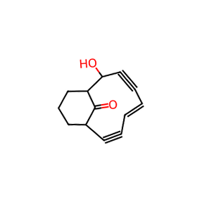 O=C1C2C#C/C=C/C#CC(O)C1CCC2